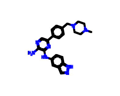 CN1CCN(Cc2ccc(-c3cnc(N)c(Nc4ccc5[nH]ncc5c4)n3)cc2)CC1